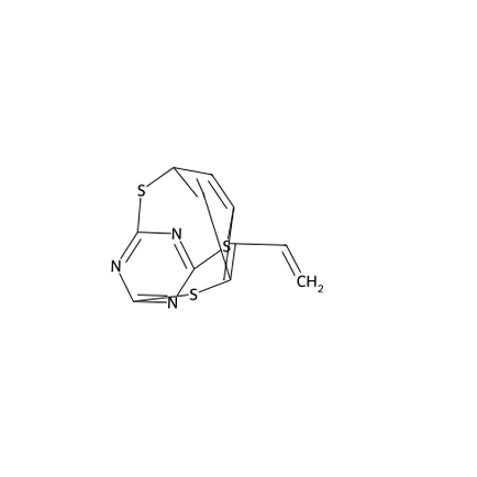 C=Cc1c2cc3cc1sc1nc(nc(n1)s2)s3